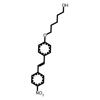 O=[N+]([O-])c1ccc(C=Cc2ccc(OCCCCCO)cc2)cc1